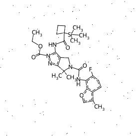 CCOC(=O)n1nc2c(c1NC(=O)C1([Si](C)(C)C)CCC1)CN(C(=O)Nc1c(F)ccc3c(C)coc13)C2(C)C